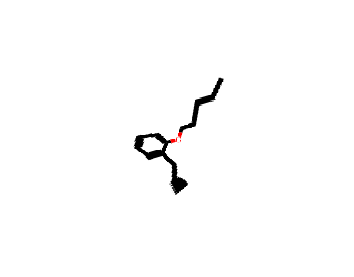 C=CCc1ccccc1OCCCCC